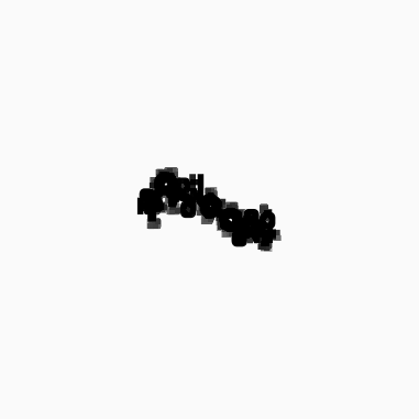 COC(=O)C(NS(=O)(=O)c1ccc(-c2ccc(NC(=O)c3oc4cccc(-c5cc(C)no5)c4c3C)cc2)cc1)C(C)C